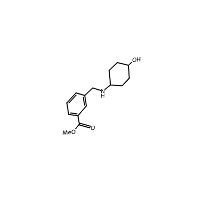 COC(=O)c1cccc(CNC2CCC(O)CC2)c1